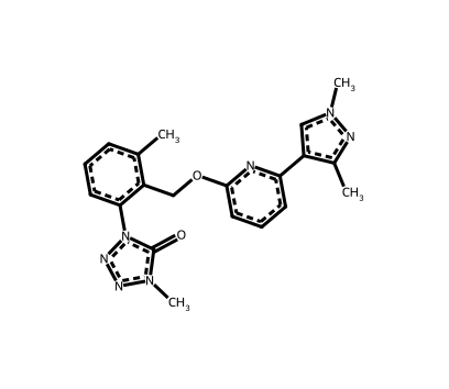 Cc1cccc(-n2nnn(C)c2=O)c1COc1cccc(-c2cn(C)nc2C)n1